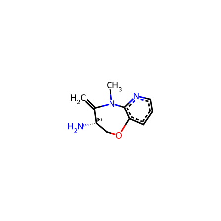 C=C1[C@@H](N)COc2cccnc2N1C